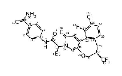 CC[C@@H](C(=O)Nc1ccc(C(N)=O)cc1)n1cc2c(cc1=O)-c1c(ccc(Cl)c1F)C[C@@H](C(F)(F)F)CO2